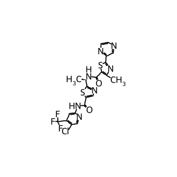 Cc1nc(-c2cnccn2)sc1C(=O)N[C@H](C)c1ncc(C(=O)Nc2cc(C(F)(F)F)c(Cl)cn2)s1